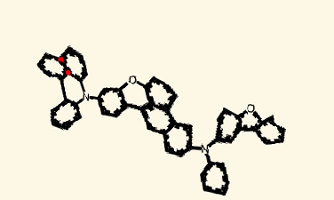 c1ccc(-c2ccccc2N(c2ccccc2)c2ccc3c(c2)Oc2cccc4c2c-3cc2ccc(N(c3ccccc3)c3ccc5oc6ccccc6c5c3)cc24)cc1